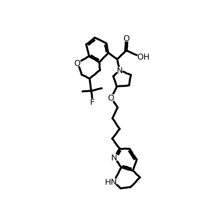 CC(C)(F)C1COc2cccc(C(C(=O)O)N3CCC(OCCCCc4ccc5c(n4)NCCC5)C3)c2C1